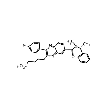 C[C@H](c1ccccc1)N(C)C(=O)c1ccc2nc(-c3ccc(F)cc3)c(CCCCC(=O)O)nc2c1